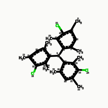 Cc1cc(C)c(B(c2c(C)cc(C)c(Cl)c2C)c2c(C)cc(C)c(Cl)c2C)c(C)c1Cl